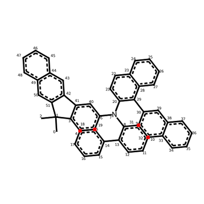 CC1(C)c2ccc(N(c3ccccc3-c3ccccc3)c3ccc4ccccc4c3-c3ccc4ccccc4c3)cc2-c2cc3ccccc3cc21